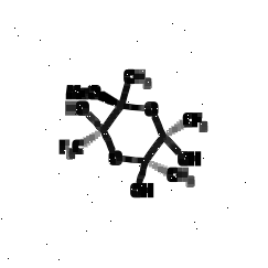 CO[C@@]1(C)O[C@](O)(C(F)(F)F)[C@@](C)(O)O[C@]1(O)C(F)(F)F